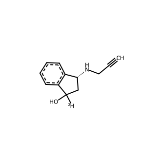 [2H]C1(O)C[C@@H](NCC#C)c2ccccc21